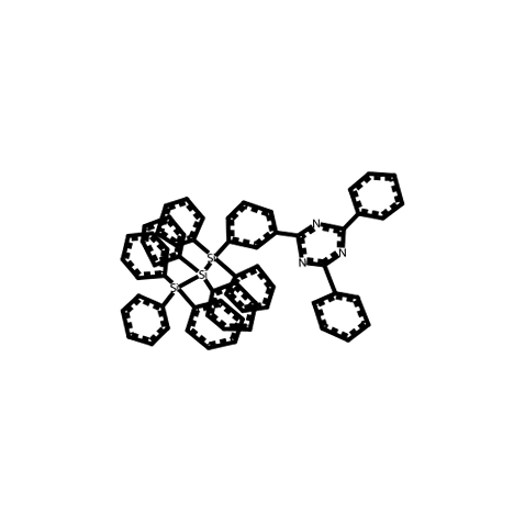 c1ccc(-c2nc(-c3ccccc3)nc(-c3cccc([Si](c4ccccc4)(c4ccccc4)[Si](c4ccccc4)(c4ccccc4)[Si](c4ccccc4)(c4ccccc4)c4ccccc4)c3)n2)cc1